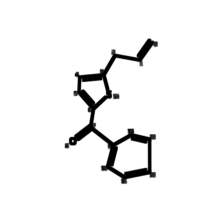 C=CCc1ccc(C(=O)c2ccccc2)s1